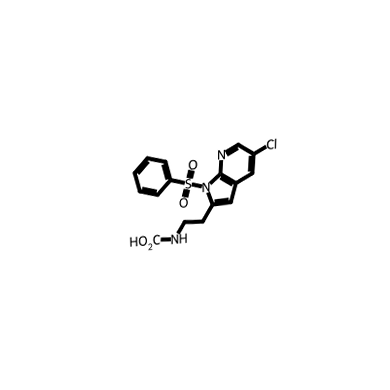 O=C(O)NCCc1cc2cc(Cl)cnc2n1S(=O)(=O)c1ccccc1